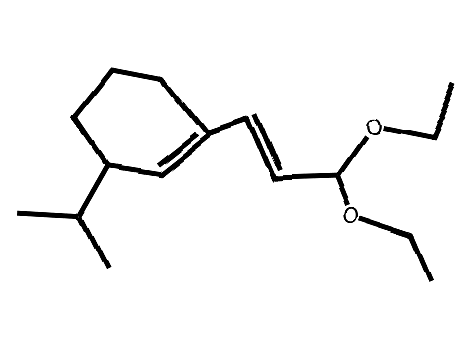 CCOC(C=CC1=CC(C(C)C)CCC1)OCC